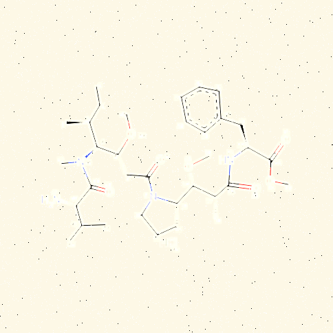 CC[C@H](C)[C@@H]([C@@H](CC(=O)N1CCC[C@H]1[C@H](OC)[C@@H](C)C(=O)N[C@@H](Cc1ccccc1)C(=O)OC)OC)N(C)C(=O)[C@@H](N)C(C)C.Cl